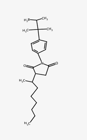 BC(C)C(C)(C)c1ccc(N2C(=O)CC(C(C)CCCCCC)C2=O)cc1